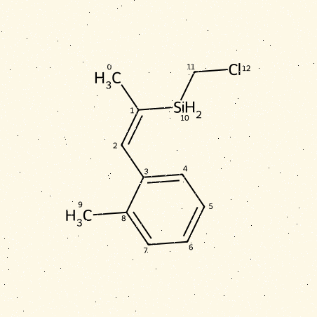 CC(=Cc1ccccc1C)[SiH2]CCl